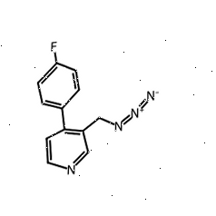 [N-]=[N+]=NCc1cnccc1-c1ccc(F)cc1